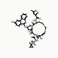 Cc1cc(C(=O)N[C@H]2CCCCC/C=C\[C@@H]3C[C@@]3(C(=O)NS(=O)(=O)C3(C)CC3)NC(=O)[C@@H]3C[C@@H](Oc4nc5ccccc5c5cc(F)ccc45)CN3C2=O)no1